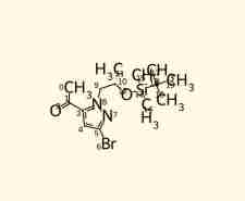 CC(=O)c1cc(Br)nn1C[C@H](C)O[Si](C)(C)C(C)(C)C